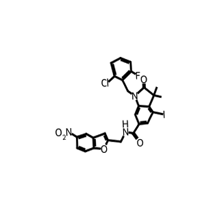 CC1(C)C(=O)N(Cc2c(F)cccc2Cl)c2cc(C(=O)NCc3cc4cc([N+](=O)[O-])ccc4o3)cc(I)c21